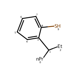 CCCC(CC)c1ccccc1S